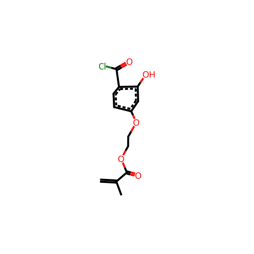 C=C(C)C(=O)OCCOc1ccc(C(=O)Cl)c(O)c1